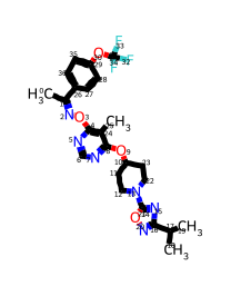 CC(=NOc1ncnc(OC2CCN(c3nc(C(C)C)no3)CC2)c1C)c1ccc(OC(F)(F)F)cc1